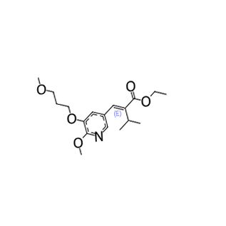 CCOC(=O)/C(=C/c1cnc(OC)c(OCCCOC)c1)C(C)C